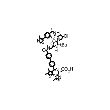 Cc1ncsc1-c1ccc([C@H](C)NC(=O)[C@@H]2C[C@@H](O)CN2C(=O)[C@@H](NC(=O)CN(C)C(=O)c2ccc(-c3ccc(C4=N[C@@H](CC(=O)O)c5nnc(C)n5-c5sc(C)c(C)c54)cc3)cc2)C(C)(C)C)cc1